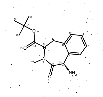 CN1C(=O)[C@H](N)c2ccccc2CN1C(=O)OC(C)(C)C